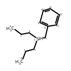 CCC[SiH](CCC)Cc1ccccc1